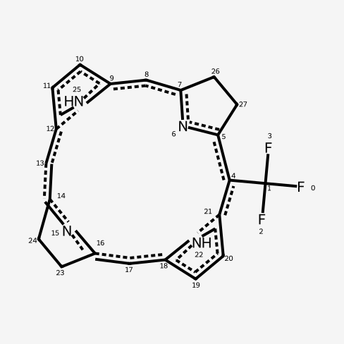 FC(F)(F)c1c2nc(cc3ccc(cc4nc(cc5ccc1[nH]5)CC4)[nH]3)CC2